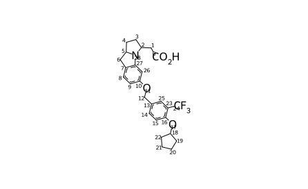 O=C(O)CC1CCC2Cc3ccc(OCc4ccc(OC5CCCC5)c(C(F)(F)F)c4)cc3N12